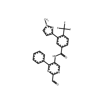 Cn1ccc(-c2cc(C(=O)Nc3cnc(C=O)nc3-c3ccccc3)ccc2C(F)(F)F)n1